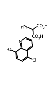 CCCC(C(=O)O)C(=O)O.[O]c1ccc(Cl)c2cccnc12